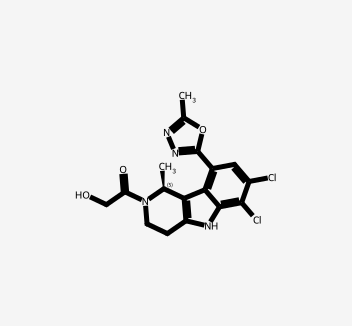 Cc1nnc(-c2cc(Cl)c(Cl)c3[nH]c4c(c23)[C@H](C)N(C(=O)CO)CC4)o1